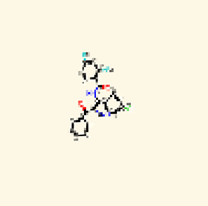 O=C(Nc1c(C(=O)c2ccccc2)[nH]c2cc(Cl)ccc12)c1ccc(F)cc1F